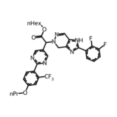 CCCCCCOC(=O)C(c1cnc(-c2ccc(OCCC)cc2C(F)(F)F)nc1)N1Cc2nc(-c3cccc(F)c3F)[nH]c2C=N1